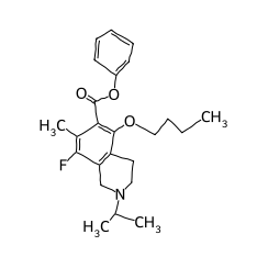 CCCCOc1c2c(c(F)c(C)c1C(=O)Oc1ccccc1)CN(C(C)C)CC2